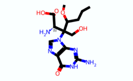 CCCC(OC)C(CO)([C@H](N)C(=O)O)n1cnc2c(=O)[nH]c(N)nc21